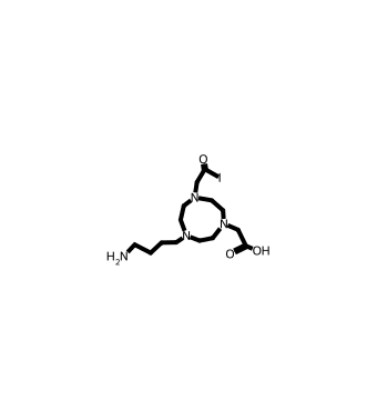 NCCCCN1CCN(CC(=O)O)CCN(CC(=O)I)CC1